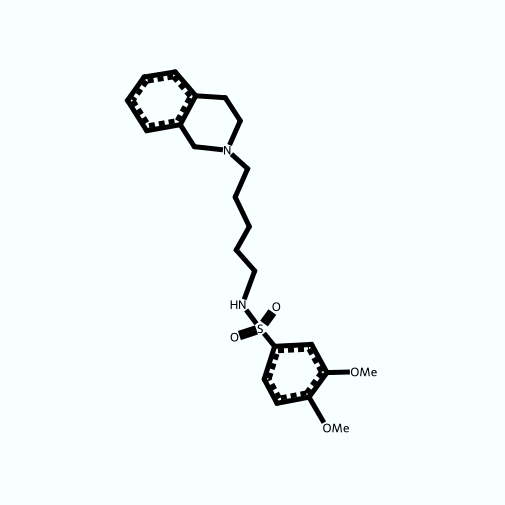 COc1ccc(S(=O)(=O)NCCCCCN2CCc3ccccc3C2)cc1OC